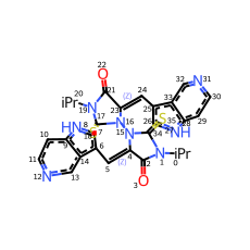 CC(C)N1C(=O)/C(=C/c2c[nH]c3ccncc23)N(N2C(=S)N(C(C)C)C(=O)/C2=C/c2c[nH]c3ccncc23)C1=S